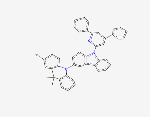 CC1(C)c2ccccc2N(c2ccc3c(c2)c2ccccc2n3-c2cc(-c3ccccc3)cc(-c3ccccc3)n2)c2ccc(Br)cc21